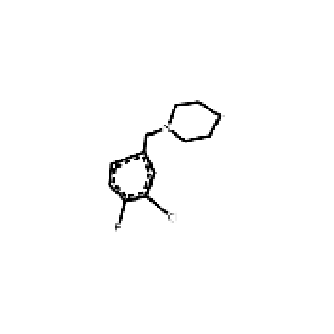 Fc1ccc(CN2CC[CH]CC2)cc1Cl